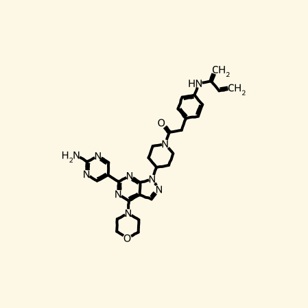 C=CC(=C)Nc1ccc(CC(=O)N2CCC(n3ncc4c(N5CCOCC5)nc(-c5cnc(N)nc5)nc43)CC2)cc1